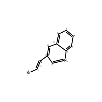 Br/C=C/c1cnc2ccccc2c1